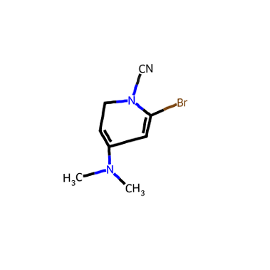 CN(C)C1=CCN(C#N)C(Br)=C1